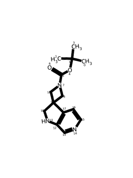 CC(C)(C)OC(=O)N1CC2(CNc3cnccc32)C1